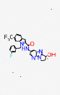 O=C(Nc1cnc2c(c1)nc1n2CCC1O)c1cc2ccc(C(F)(F)F)cc2n1Cc1cccc(F)c1